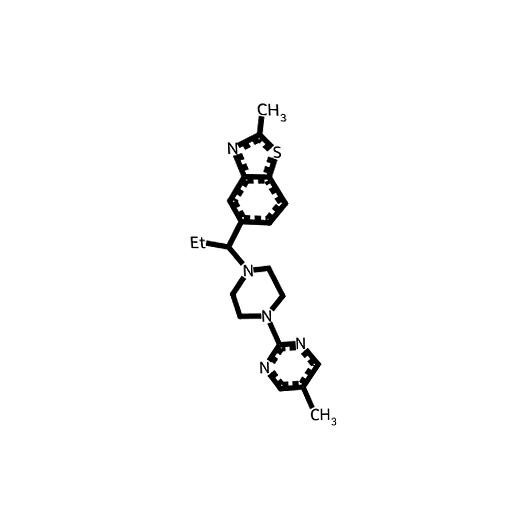 CCC(c1ccc2sc(C)nc2c1)N1CCN(c2ncc(C)cn2)CC1